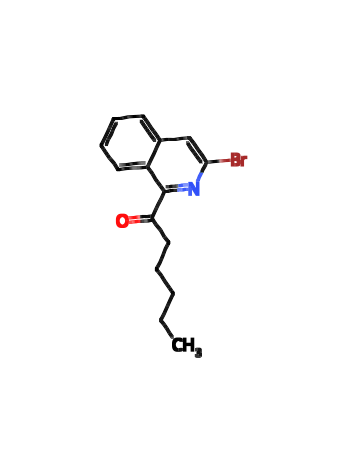 CCCCCC(=O)c1nc(Br)cc2ccccc12